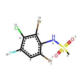 CS(=O)(=O)Nc1c(Br)cc(F)c(Cl)c1Br